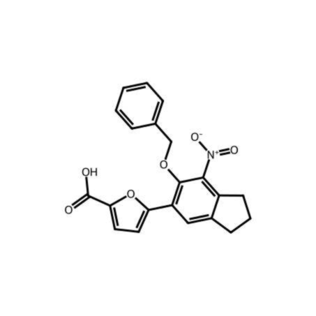 O=C(O)c1ccc(-c2cc3c(c([N+](=O)[O-])c2OCc2ccccc2)CCC3)o1